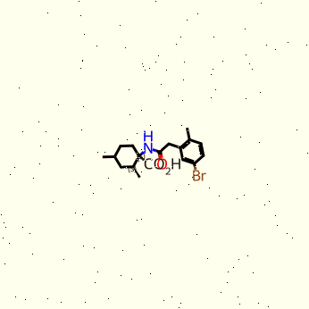 Cc1ccc(Br)cc1CC(=O)N[C@@]1(C(=O)O)CCC(C)C[C@@H]1C